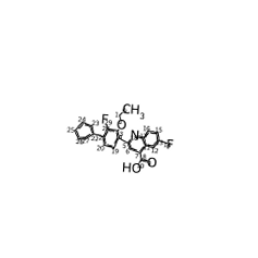 CCOc1c(-c2cc(C(=O)O)c3cc(F)ccc3n2)ccc(-c2ccccc2)c1F